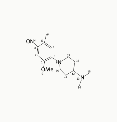 COc1cc(N=O)c(C)cc1N1CCC(N(C)C)CC1